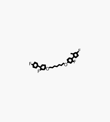 Cc1cc(F)ccc1-c1ccc(OCCCCCCCOc2ccc(-c3ccc(F)cc3)c(F)c2)cc1F